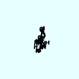 C=CC(=O)N1CCC(F)C(Oc2nc(Nc3cnn(C4CCN(C)C4)c3)nc3[nH]ccc23)C1